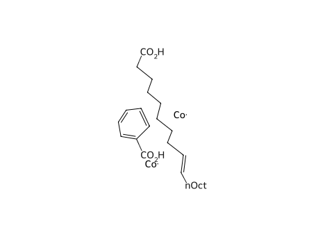 CCCCCCCCC=CCCCCCCCC(=O)O.O=C(O)c1ccccc1.[Co].[Co]